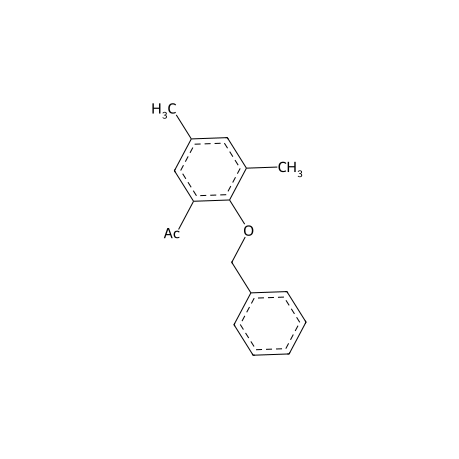 CC(=O)c1cc(C)cc(C)c1OCc1ccccc1